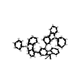 CC1(C)c2ccccc2-c2c(-c3ccc4c5ccccc5n(-c5ccccc5)c4c3)cc(-c3cccc4c3c3ccccc3n4-c3ccccc3)cc21